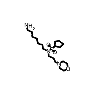 NCCCCCCCN(CCCN1CCOCC1)S(=O)(=O)C1CCCC1